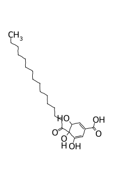 CCCCCCCCCCCCCCCC(=O)C1(O)C(O)=CC(C(=O)O)=CC1O